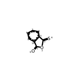 O=C1OC(=S)c2ccccc21